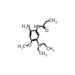 CCC(=O)Nc1cc(N(CC)CC)c(OC)cc1N